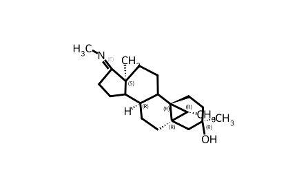 C/N=C1\CCC2[C@@H]3CC[C@]45C[C@](C)(O)CC[C@@]4(C3CC[C@]12C)[C@@H]5C